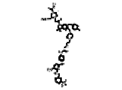 COC[C@H]1CN(C(=O)OC(C)(C)C)[C@H](C)CN1CC(=O)N1CC(C)(C)c2nc(CN3CCN(CCOCC(=O)Nc4ccc(Nc5ncc(C(F)(F)F)c(NCc6cccc(S(C)(=O)=O)c6)n5)cc4)CC3)c(Cc3ccc(F)cc3)cc21